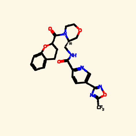 O=C(NC[C@H]1COCCN1C(=O)C1CCc2ccccc2O1)c1ccc(-c2noc(C(F)(F)F)n2)cn1